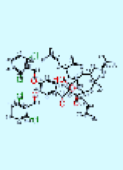 C=C(C)C(CC=C(C)C)CC12CC(CC=C(C)C)C(C)(C)CC(CC=C(C)C)(C(=O)C(C(=O)c3ccc(OCc4c(Cl)cccc4Cl)c(OCc4c(Cl)cccc4Cl)c3)=C1O)C2=O